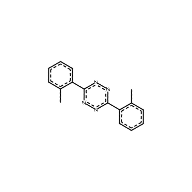 Cc1ccccc1-c1nnc(-c2ccccc2C)nn1